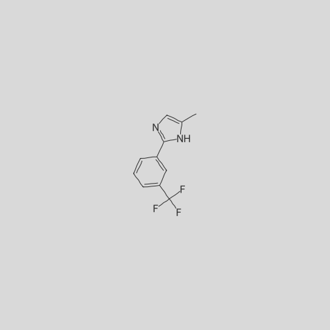 Cc1cnc(-c2cccc(C(F)(F)F)c2)[nH]1